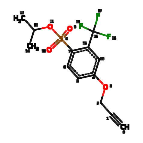 C#CCOc1ccc(S(=O)(=O)OC(C)C)c(C(F)(F)F)c1